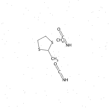 C.CC1SCCS1.N=C=O.N=C=O